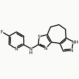 Fc1ccc(Nc2nc3c(s2)CCCc2[nH]ncc2-3)nc1